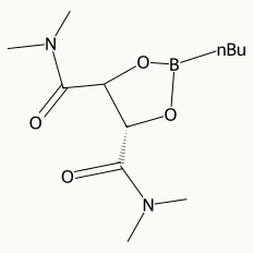 CCCCB1OC(C(=O)N(C)C)[C@@H](C(=O)N(C)C)O1